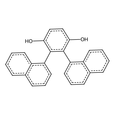 Oc1ccc(O)c(-c2cccc3ccccc23)c1-c1cccc2ccccc12